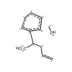 C=CCC(C(=O)O)c1ccccc1.CO